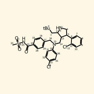 CC(C)(C)CC1NCC(c2ccccc2Cl)C1CN(Cc1ccc(C(=O)NS(C)(=O)=O)cc1)c1ccc(Cl)cc1